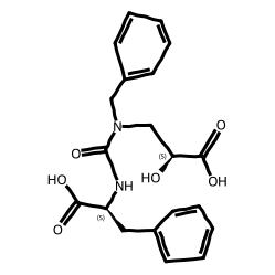 O=C(O)[C@H](Cc1ccccc1)NC(=O)N(Cc1ccccc1)C[C@H](O)C(=O)O